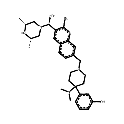 CCC[C@@H](c1cc2ccc(CN3CCC(c4cccc(O)c4)(N(C)C)CC3)cc2nc1CC)N1C[C@@H](C)N[C@@H](C)C1